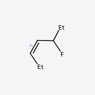 CC/C=C\C(F)CC